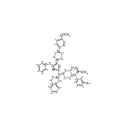 COc1ccc(N2CCN(c3oc(C(C4CCC(C(c5cccc(F)c5)N(C)C)CC4)N4CCc5ccccc5C4)nc3Cc3ccccc3)CC2)cc1